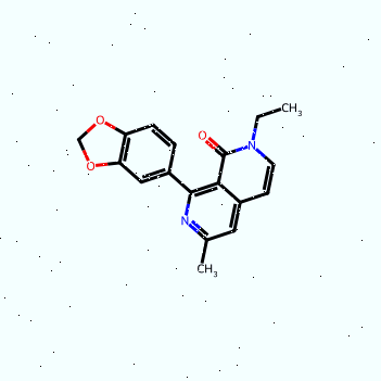 CCn1ccc2cc(C)nc(-c3ccc4c(c3)OCO4)c2c1=O